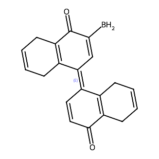 BC1=C/C(=C2/C=CC(=O)C3=C2CC=CC3)C2=C(CC=CC2)C1=O